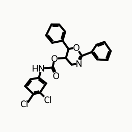 O=C(Nc1ccc(Cl)c(Cl)c1)OC1CN=C(c2ccccc2)OC1c1ccccc1